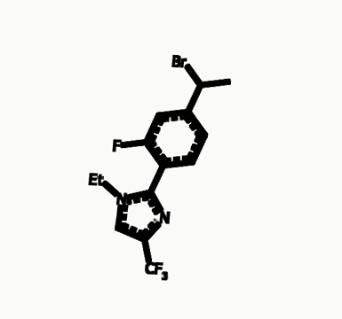 CCn1cc(C(F)(F)F)nc1-c1ccc(C(C)Br)cc1F